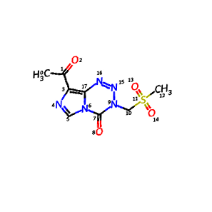 CC(=O)c1ncn2c(=O)n(CS(C)(=O)=O)nnc12